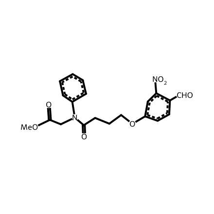 COC(=O)CN(C(=O)CCCOc1ccc(C=O)c([N+](=O)[O-])c1)c1ccccc1